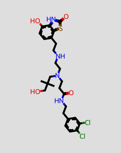 CC(C)(CO)CN(CCNCCc1ccc(O)c2[nH]c(=O)sc12)CCC(=O)NCCc1ccc(Cl)c(Cl)c1